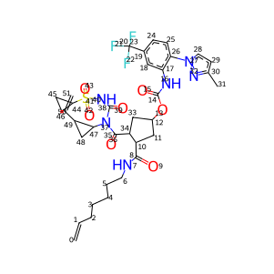 C=CCCCCCNC(=O)C1CC(OC(=O)Nc2cc(C(F)(F)F)ccc2-n2ccc(C)n2)CC1C(=O)N(C(=O)NS(=O)(=O)C1CC1)C1CC1C=C